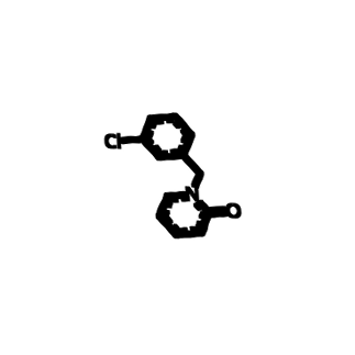 O=c1ccccn1Cc1cccc(Cl)c1